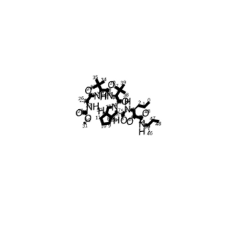 CCC[C@H](NC(=O)[C@@H]1[C@H]2CCC[C@H]2CN1C(=O)[C@@H](NC(=O)[C@@H](NC(=O)[C@@H](C)NC(=O)OC)C(C)(C)C)C(C)(C)C)C(=O)C(=O)N[C@@H](C)CC